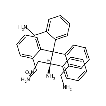 NCc1ccccc1C(c1ccccc1CN)(c1ccccc1CN)[C@@](N)(C[N+](=O)[O-])c1ccccc1